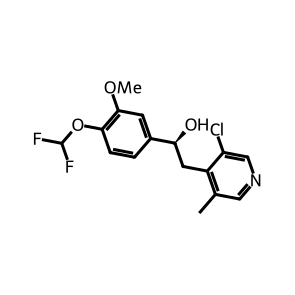 COc1cc([C@@H](O)Cc2c(C)cncc2Cl)ccc1OC(F)F